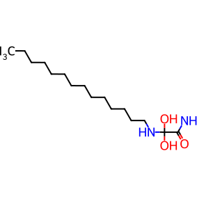 CCCCCCCCCCCCCCNC(O)(O)C(N)=O